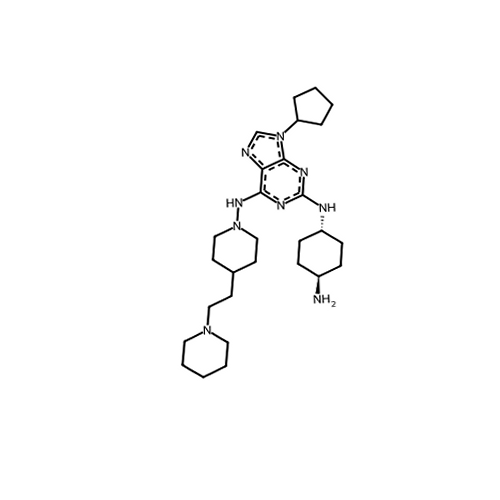 N[C@H]1CC[C@H](Nc2nc(NN3CCC(CCN4CCCCC4)CC3)c3ncn(C4CCCC4)c3n2)CC1